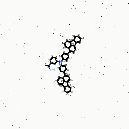 CC(=N)c1cccc(N(c2ccc(-c3ccc4c5c(cccc35)-c3ccccc3-4)cc2)c2ccc(-c3ccc4c5c(cccc35)-c3ccccc3-4)cc2)c1